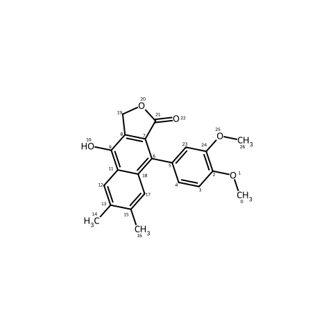 COc1ccc(-c2c3c(c(O)c4cc(C)c(C)cc24)COC3=O)cc1OC